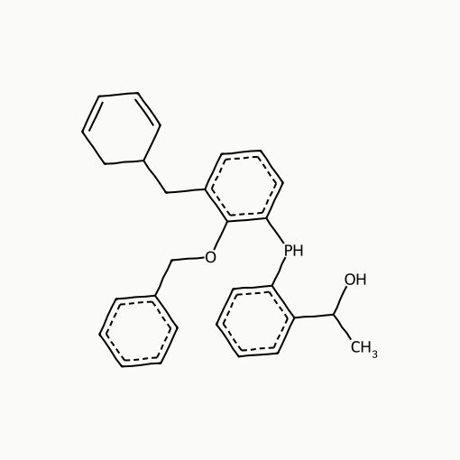 CC(O)c1ccccc1Pc1cccc(CC2C=CC=CC2)c1OCc1ccccc1